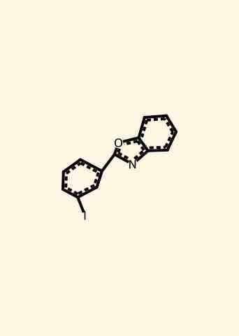 Ic1cccc(-c2nc3ccccc3o2)c1